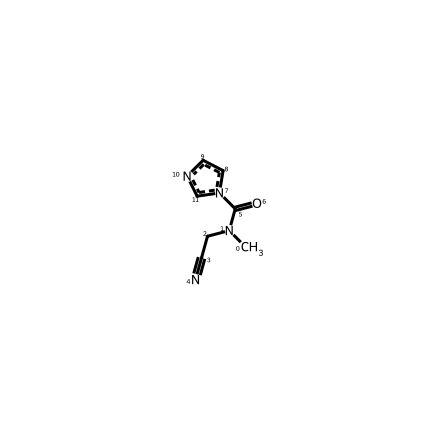 CN(CC#N)C(=O)n1ccnc1